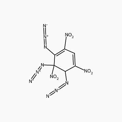 [N-]=[N+]=NC1=C([N+](=O)[O-])C=C([N+](=O)[O-])C(N=[N+]=[N-])C1(N=[N+]=[N-])[N+](=O)[O-]